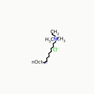 C=CC[N+](C)(C)CCCCCCCC/C=C\CCCCCCCC.[Cl-]